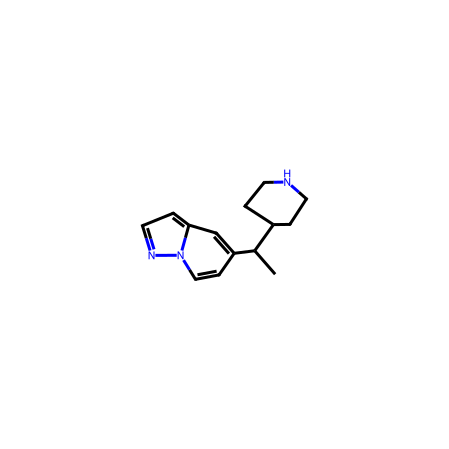 CC(c1ccn2nccc2c1)C1CCNCC1